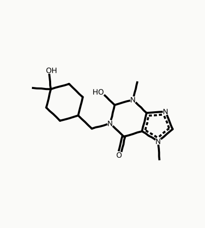 CN1c2ncn(C)c2C(=O)N(CC2CCC(C)(O)CC2)C1O